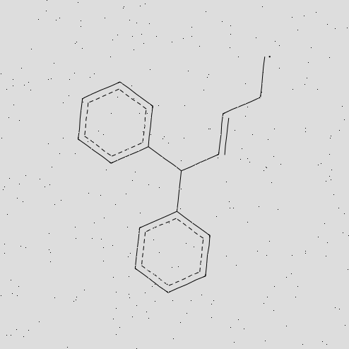 [CH2]C/C=C/C(c1ccccc1)c1ccccc1